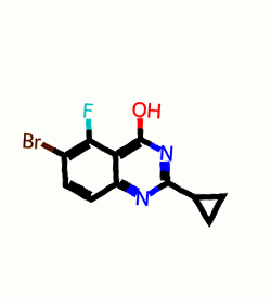 Oc1nc(C2CC2)nc2ccc(Br)c(F)c12